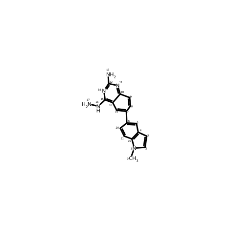 Cn1ccc2cc(-c3ccc4nc(N)nc(NN)c4c3)ccc21